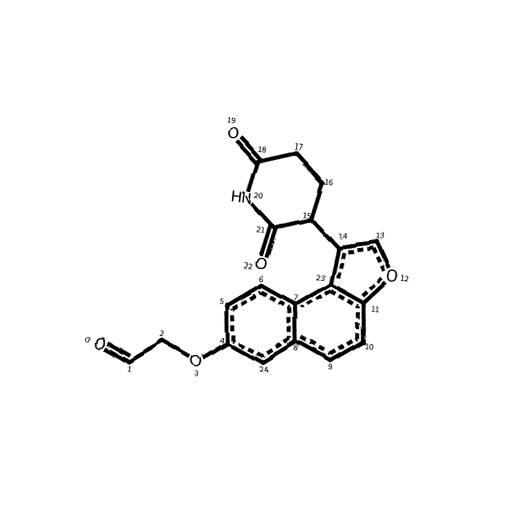 O=CCOc1ccc2c(ccc3occ(C4CCC(=O)NC4=O)c32)c1